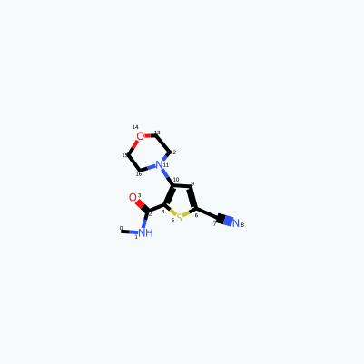 CNC(=O)c1sc(C#N)cc1N1CCOCC1